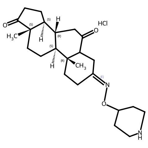 C[C@]12CC/C(=N\OC3CCNCC3)CC1C(=O)C[C@@H]1[C@@H]2CC[C@]2(C)C(=O)CC[C@@H]12.Cl